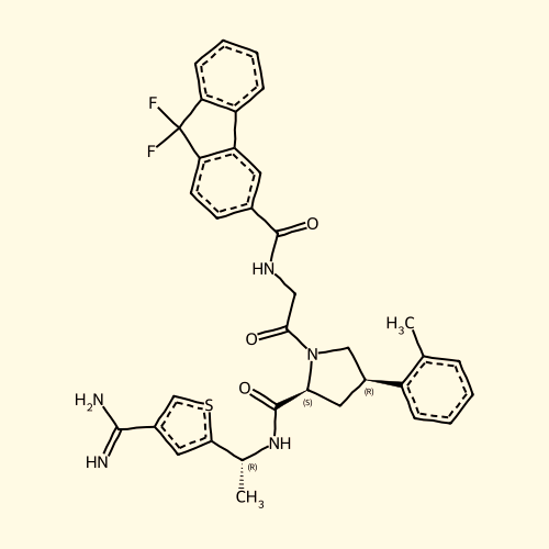 Cc1ccccc1[C@H]1C[C@@H](C(=O)N[C@H](C)c2cc(C(=N)N)cs2)N(C(=O)CNC(=O)c2ccc3c(c2)-c2ccccc2C3(F)F)C1